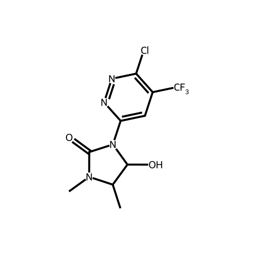 CC1C(O)N(c2cc(C(F)(F)F)c(Cl)nn2)C(=O)N1C